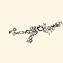 CS(C)(=O)=N[C@H]1CC[C@@H](CNc2ncc(S(=O)(=O)NC(=O)c3ccc(N4CCC5(CC4)CC(N4CCC[C@@H]4c4ccccc4C4CC4)C5)cc3Oc3cnc4[nH]ccc4c3)cc2[N+](=O)[O-])CC1